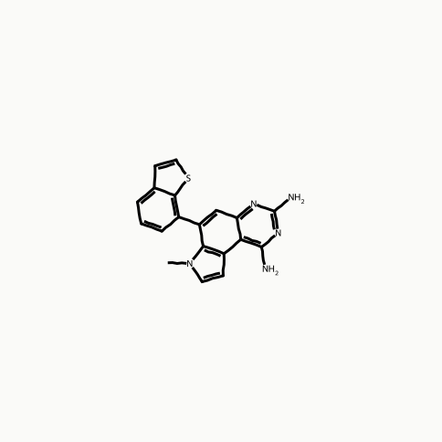 Cn1ccc2c3c(N)nc(N)nc3cc(-c3cccc4ccsc34)c21